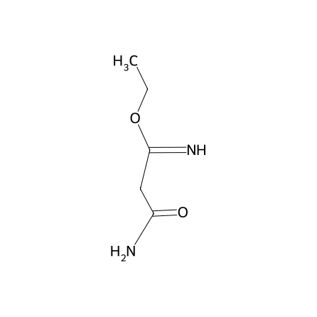 CCOC(=N)CC(N)=O